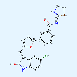 O=C1Nc2ccc(Cl)cc2/C1=C\c1ccc(-c2cccc(C(=O)NC3=NCCS3)c2)o1